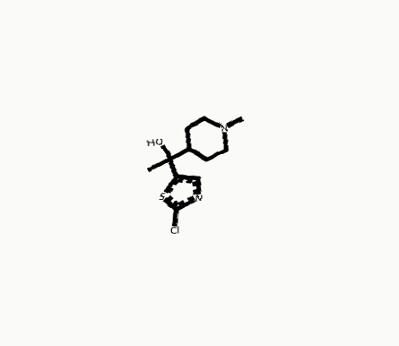 CN1CCC(C(C)(O)c2cnc(Cl)s2)CC1